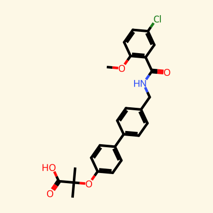 COc1ccc(Cl)cc1C(=O)NCc1ccc(-c2ccc(OC(C)(C)C(=O)O)cc2)cc1